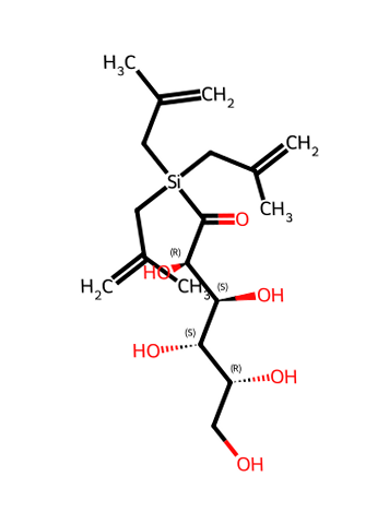 C=C(C)C[Si](CC(=C)C)(CC(=C)C)C(=O)[C@H](O)[C@@H](O)[C@@H](O)[C@H](O)CO